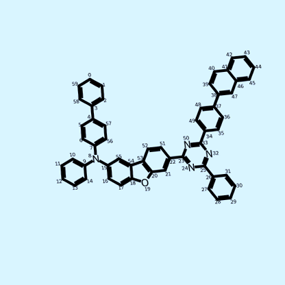 c1ccc(-c2ccc(N(c3ccccc3)c3ccc4oc5cc(-c6nc(-c7ccccc7)nc(-c7ccc(-c8ccc9ccccc9c8)cc7)n6)ccc5c4c3)cc2)cc1